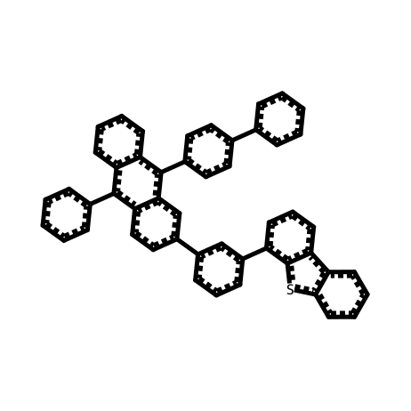 c1ccc(-c2ccc(-c3c4ccccc4c(-c4ccccc4)c4ccc(-c5cccc(-c6cccc7c6sc6ccccc67)c5)cc34)cc2)cc1